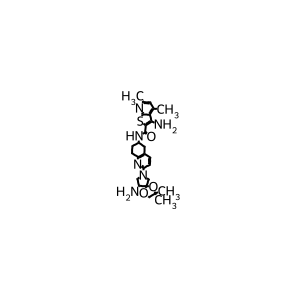 Cc1cc(C)c2c(N)c(C(=O)NC3CCc4nc(N5CC(N)C6(C5)OCC(C)(C)O6)ccc4C3)sc2n1